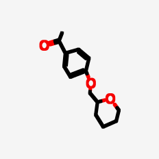 CC(=O)c1ccc(OCC2CCCCO2)cc1